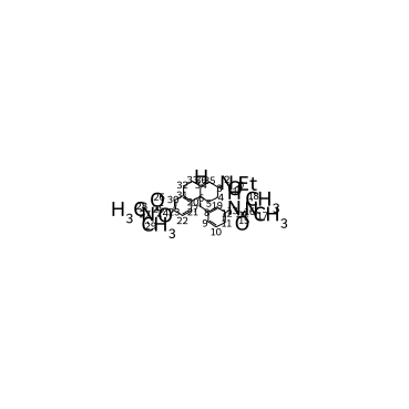 CCON=C1CC[C@]2(Cc3cccc(NC(=O)N(C)C)c3)c3ccc(OC(=O)N(C)C)cc3CC[C@H]2C1